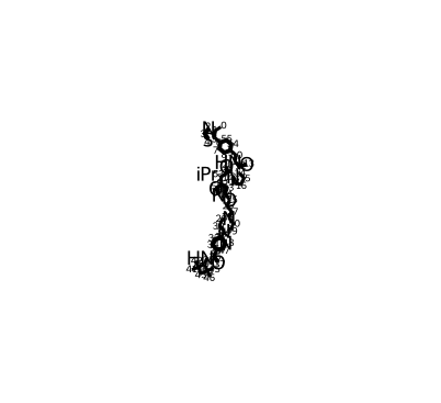 Cc1ncsc1-c1ccc(CNC(=O)[C@@H]2CCCN2C(=O)[C@H](c2cc(OCCN3CCN(c4ccc(C(=O)NC5C(C)(C)CC5(C)C)cn4)CC3)no2)C(C)C)cc1